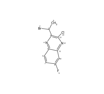 CC(Br)c1nc2ccc(F)cc2nc1Cl